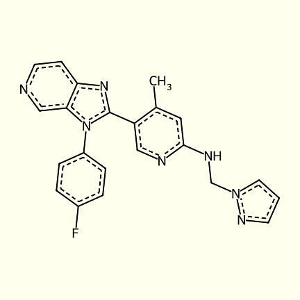 Cc1cc(NCn2cccn2)ncc1-c1nc2ccncc2n1-c1ccc(F)cc1